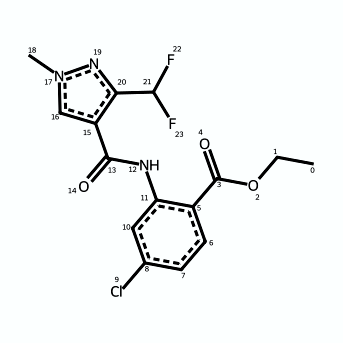 CCOC(=O)c1ccc(Cl)cc1NC(=O)c1cn(C)nc1C(F)F